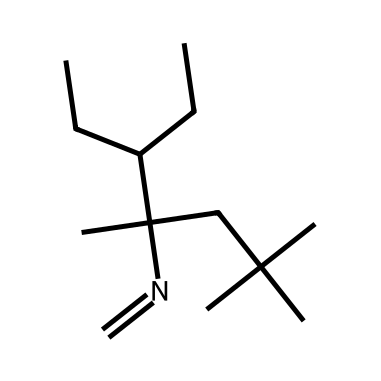 C=NC(C)(CC(C)(C)C)C(CC)CC